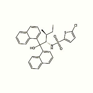 CC[C@H](C)[C@H](NS(=O)(=O)c1ccc(Cl)s1)C(O)(c1cccc2ccccc12)c1cccc2ccccc12